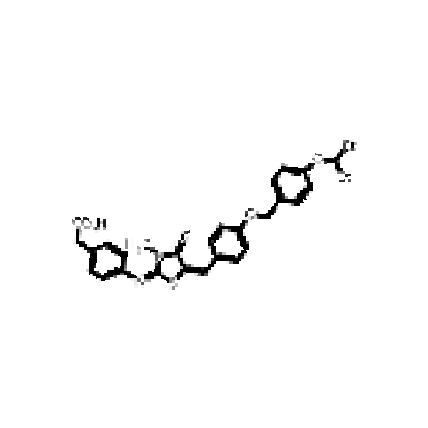 CCC(CC)Oc1ccc(COc2ccc(C=C3SC(=Nc4ccc(CC(=O)O)cc4)N(C)C3=O)cc2)cc1